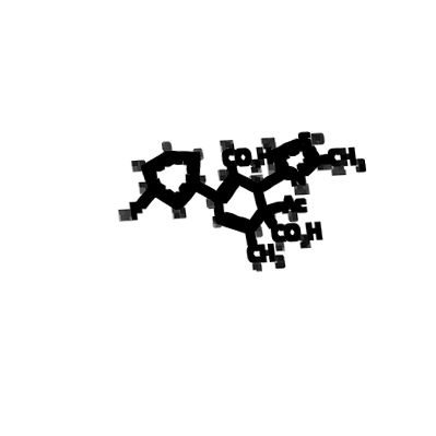 CC(=O)C1(C(=O)O)C(C)=CC(c2cccc(F)c2)=C(C(=O)O)C1c1csc(C)n1